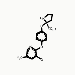 O=C(O)[C@]1(Oc2ccc(Oc3ncc(C(F)(F)F)cc3Cl)cc2)CCCN1